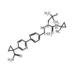 CC(C)(F)C[C@H](N[C@@H](c1ccc(-c2ccc(C3(C(N)=O)CC3)cn2)cc1)C(F)(F)F)C(=O)NC1(C#N)CC1